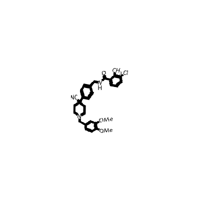 COc1ccc(CN2CCC(C#N)(c3ccc(CNC(=O)c4cccc(Cl)c4C)cc3)CC2)cc1OC